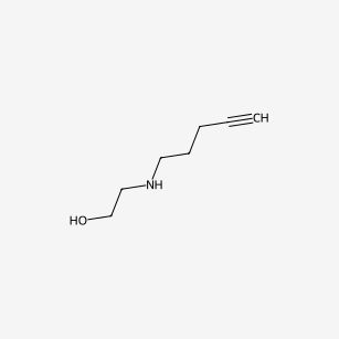 C#CCCCNCCO